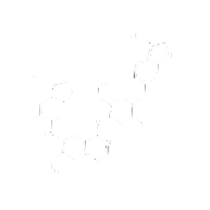 COc1cc2ncnc(Nc3cc(F)c(Oc4ccc5c(c4)ncn5C)cc3OC)c2cc1NC(=O)/C(F)=C\C1CCCN1C